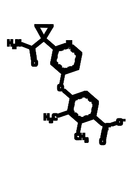 Cc1c(Oc2ccnc(C3(C(N)=O)CC3)c2)ccc([N+](=O)[O-])c1C